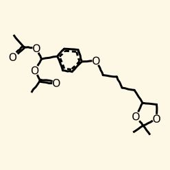 CC(=O)OC(OC(C)=O)c1ccc(OCCCCC2COC(C)(C)O2)cc1